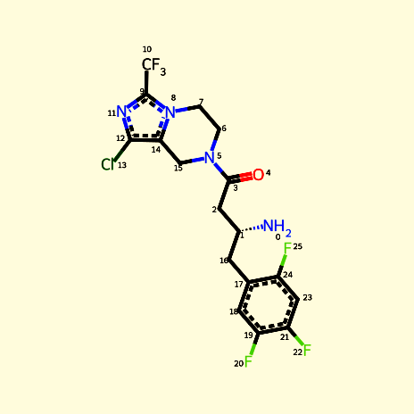 N[C@@H](CC(=O)N1CCn2c(C(F)(F)F)nc(Cl)c2C1)Cc1cc(F)c(F)cc1F